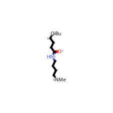 CNCCCCNC(=O)CCCOCC(C)C